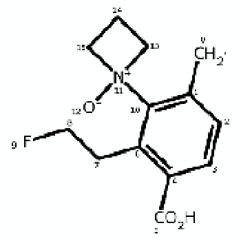 [CH2]c1ccc(C(=O)O)c(CCF)c1[N+]1([O-])CCC1